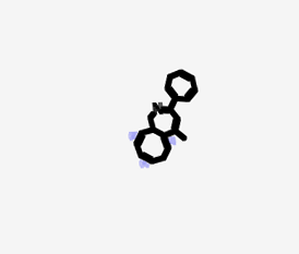 CC1=CC(C2=CCC=CC=C2)=NCC2/C=C\C=C/C/C=C/12